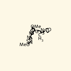 COc1cc(OCc2nc(N3CCOCC3)sc2C)c2cc(-c3cn4nc(OC)sc4n3)nn2c1